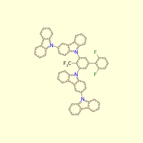 Fc1cccc(F)c1-c1cc(-n2c3ccccc3c3cc(-n4c5ccccc5c5ccccc54)ccc32)c(C(F)(F)F)c(-n2c3ccccc3c3cc(-n4c5ccccc5c5ccccc54)ccc32)c1